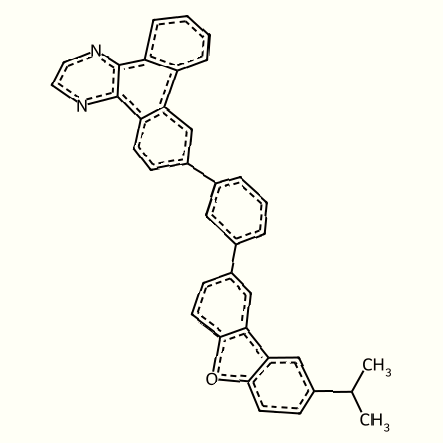 CC(C)c1ccc2oc3ccc(-c4cccc(-c5ccc6c(c5)c5ccccc5c5nccnc65)c4)cc3c2c1